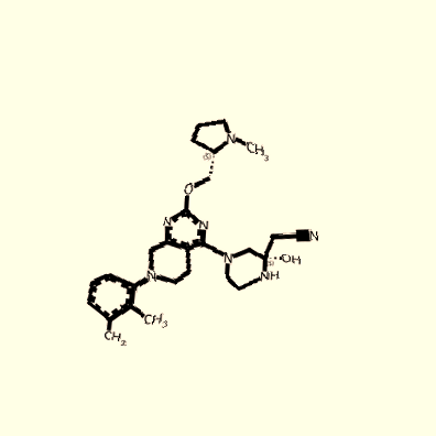 Cc1cccc(N2CCc3c(nc(OC[C@@H]4CCCN4C)nc3N3CCN[C@](O)(CC#N)C3)C2)c1C